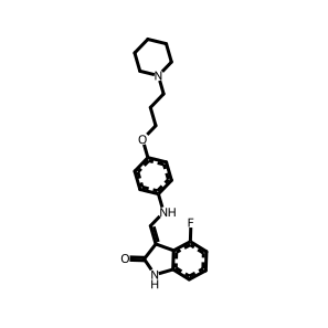 O=C1Nc2cccc(F)c2/C1=C\Nc1ccc(OCCCN2CCCCC2)cc1